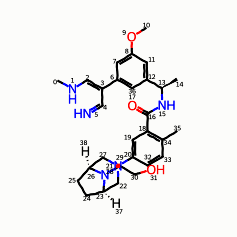 CN/C=C(\C=N)c1cc(OC)cc([C@@H](C)NC(=O)c2cc(N3C[C@H]4CC[C@@H](C3)N4CCO)ccc2C)c1